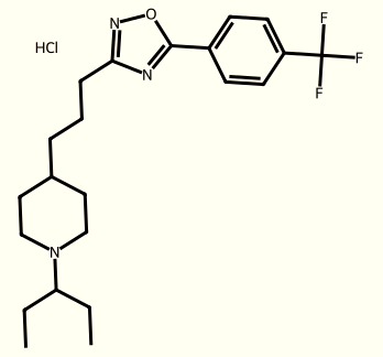 CCC(CC)N1CCC(CCCc2noc(-c3ccc(C(F)(F)F)cc3)n2)CC1.Cl